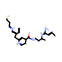 C=C/C(=C\N=C\CCF)CC1=CC(C(=O)NCCC(C)/N=C(N)\C=C\C)CC=N1